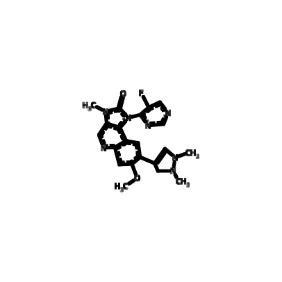 COc1cc2ncc3c(c2cc1C1=CN(C)N(C)C1)n(-c1ncncc1F)c(=O)n3C